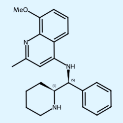 COc1cccc2c(N[C@@H](c3ccccc3)[C@@H]3CCCCN3)cc(C)nc12